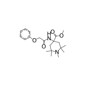 COC(=O)C1(NC(=O)COc2ccccc2)CC(C)(C)N(C)C(C)(C)C1